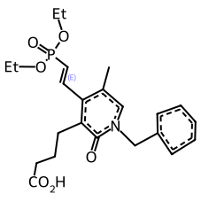 CCOP(=O)(/C=C/c1c(C)cn(Cc2ccccc2)c(=O)c1CCCC(=O)O)OCC